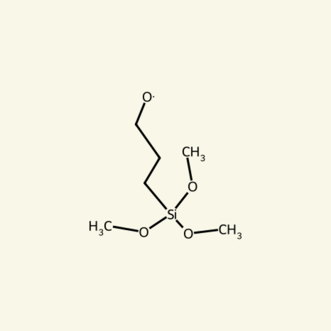 CO[Si](CCC[O])(OC)OC